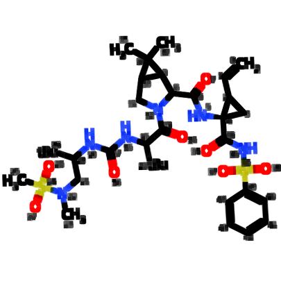 C=CC1C[C@]1(NC(=O)C1C2C(CN1C(=O)C(NC(=O)NC(CN(C)S(C)(=O)=O)C(C)(C)C)C(C)(C)C)C2(C)C)C(=O)NS(=O)(=O)c1ccccc1